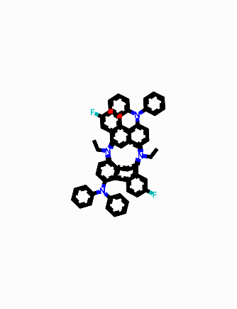 CCn1c2cc3c(c(N(c4ccccc4)c4ccccc4)ccc3n(CC)c3cc4c(c(N(c5ccccc5)c5ccccc5)ccc41)c1ccc(F)cc13)c1ccc(F)cc12